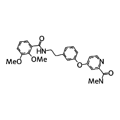 CNC(=O)c1cc(Oc2cccc(CCNC(=O)c3cccc(OC)c3OC)c2)ccn1